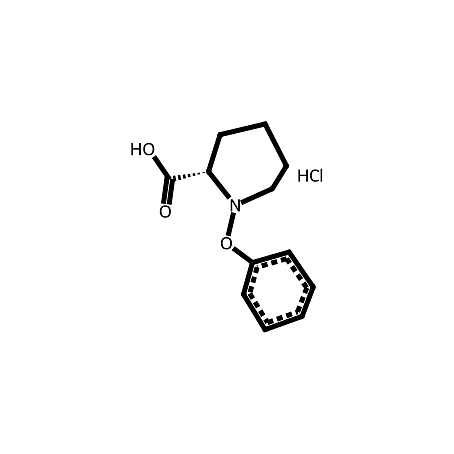 Cl.O=C(O)[C@@H]1CCCCN1Oc1ccccc1